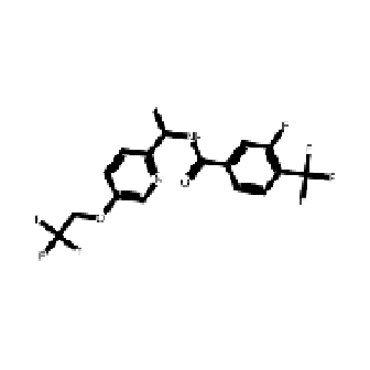 CC(NC(=O)c1ccc(C(F)(F)F)c(F)c1)c1ccc(OCC(F)(F)F)cn1